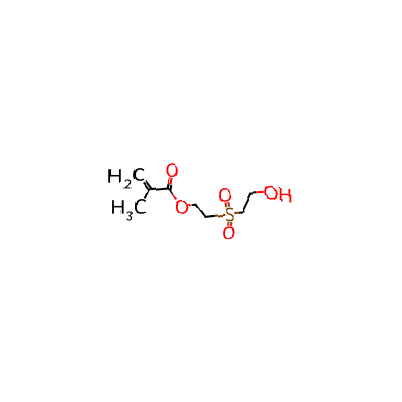 C=C(C)C(=O)OCCS(=O)(=O)CCO